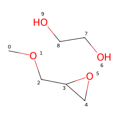 COCC1CO1.OCCO